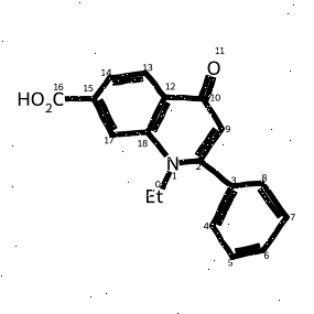 CCn1c(-c2ccccc2)cc(=O)c2ccc(C(=O)O)cc21